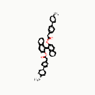 CC1CCC(c2ccc(CC(=O)Oc3ccc4c(c3-c3c(OC(=O)Cc5ccc(C6CCC(C)CC6)cc5)ccc5c3CCCC5)CCCC4)cc2)CC1